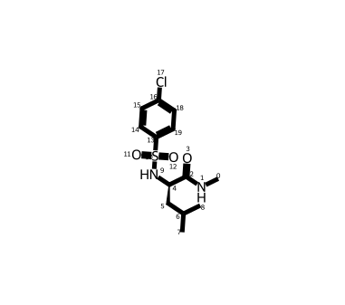 CNC(=O)[C@@H](CC(C)C)NS(=O)(=O)c1ccc(Cl)cc1